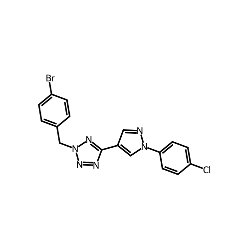 Clc1ccc(-n2cc(-c3nnn(Cc4ccc(Br)cc4)n3)cn2)cc1